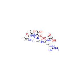 CC[C@H](C)[C@H](N)C(=O)N[C@H](C(=O)N[C@H](C(=O)N1CCC[C@H]1C(=O)N[C@@H](CCCNC(=N)N)C(=O)N[C@H]([C]=O)[C@@H](C)O)[C@@H](C)O)C(C)C